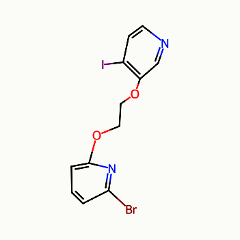 Brc1cccc(OCCOc2cnccc2I)n1